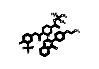 CCOc1ccc(-n2c([C@H]3CN(C(=O)OC(C)(C)C)CCN3C(=O)Cc3ccc(F)c(C(F)(F)F)c3)nc3ccccc3c2=O)cc1